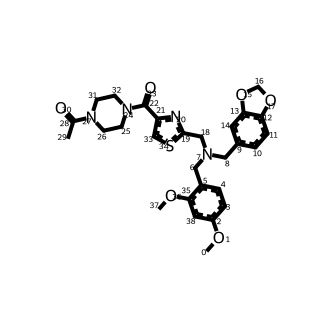 COc1ccc(CN(Cc2ccc3c(c2)OCO3)Cc2nc(C(=O)N3CCN(C(C)=O)CC3)cs2)c(OC)c1